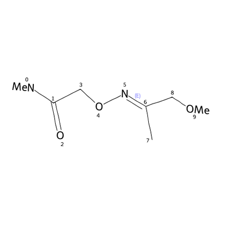 CNC(=O)CO/N=C(\C)COC